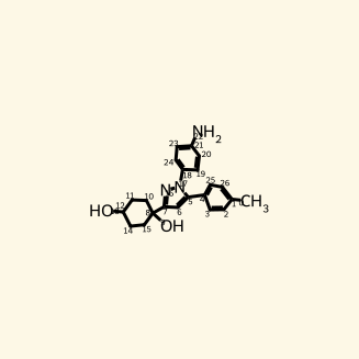 Cc1ccc(-c2cc(C3(O)CCC(O)CC3)nn2-c2ccc(N)cc2)cc1